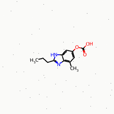 CCCc1nc2c(C)cc(OC(=O)O)cc2[nH]1